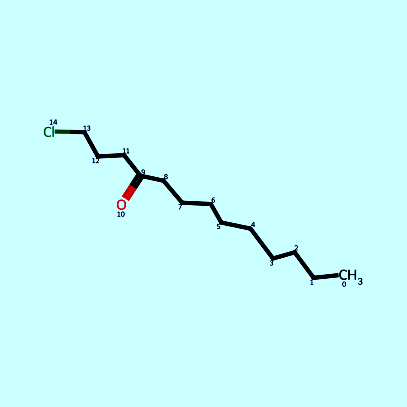 CCCCCCCCCC(=O)CCCCl